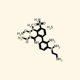 CN(SON)c1c(S(N)(=O)=O)ccc(-c2cccc(N(N)CCN)c2N)c1/C(N)=N/NN.S